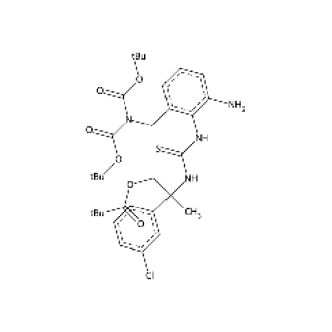 CC(C)(C)OC(=O)N(Cc1cccc(N)c1NC(=S)NC(C)(COC(=O)C(C)(C)C)c1cccc(Cl)c1)C(=O)OC(C)(C)C